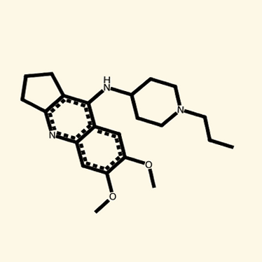 CCCN1CCC(Nc2c3c(nc4cc(OC)c(OC)cc24)CCC3)CC1